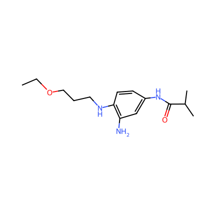 CCOCCCNc1ccc(NC(=O)C(C)C)cc1N